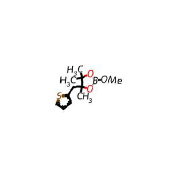 COB1OC(C)(C)C(C)(Cc2cccs2)O1